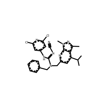 Cc1nn(C)c2nc(CN(Cc3ccccc3)/C(=N/C#N)Nc3cc(Cl)nc(Cl)c3)cc(C(C)C)c12